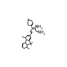 CC1C=C(/C=C/C(C2=CC[C@@H](C)CC2)N(N)CN)C=C2C1C1C=CCC(C)C1C2(C)C